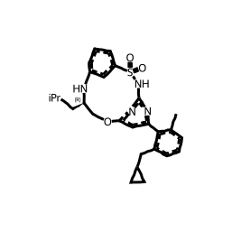 Cc1cccc(CC2CC2)c1-c1cc2nc(n1)NS(=O)(=O)c1cccc(c1)N[C@H](CC(C)C)CO2